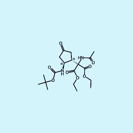 CCOC(=O)C(NC(C)=O)(C(=O)OCC)[C@H]1CC(=O)C[C@@H]1NC(=O)OC(C)(C)C